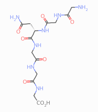 NCC(=O)NCC(=O)N[C@@H](CC(N)=O)C(=O)NCC(=O)NCC(=O)NCC(=O)O